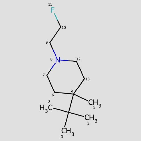 CC(C)(C)C1(C)CCN(CCF)CC1